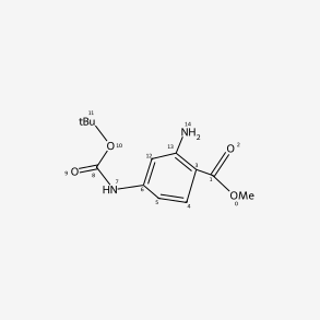 COC(=O)c1ccc(NC(=O)OC(C)(C)C)cc1N